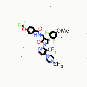 COc1cc(F)c([C@@H]2CN(c3nccc(N4CCN(C)CC4)c3C(F)(F)F)C(=O)C2CNC(=O)c2ccc(OC(F)F)cc2)c(F)c1